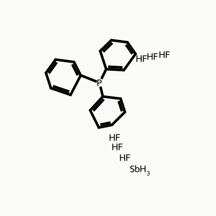 F.F.F.F.F.F.[SbH3].c1ccc(P(c2ccccc2)c2ccccc2)cc1